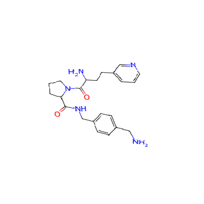 NCc1ccc(CNC(=O)C2CCCN2C(=O)C(N)CCc2cccnc2)cc1